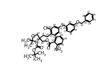 CC(C)(C)OC(=O)N1C(CCc2ccc(Sc3cccc(OCc4ccccc4)c3)cc2Cl)(COC(=O)c2ccccc2N)COC1(C)C